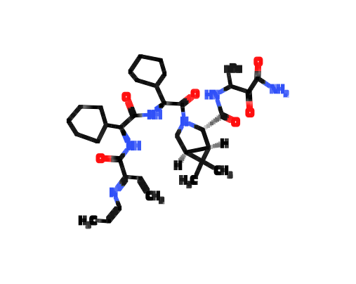 C=C/C(=N\C=C/C)C(=O)N[C@H](C(=O)N[C@H](C(=O)N1C[C@H]2[C@@H]([C@H]1C(=O)NC(CCCC)C(=O)C(N)=O)C2(C)C)C1CCCCC1)C1CCCCC1